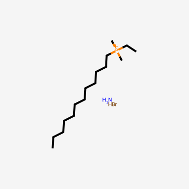 Br.CCCCCCCCCCCC[PH](C)(C)CC.N